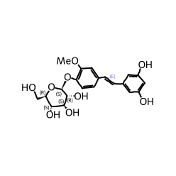 COc1cc(/C=C/c2cc(O)cc(O)c2)ccc1O[C@@H]1O[C@H](CO)[C@@H](O)[C@H](O)[C@H]1O